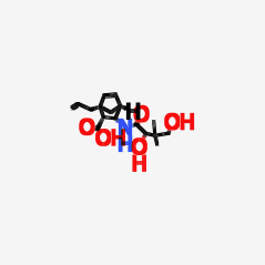 C=CC[C@@]12C=C[C@@H](C1)[C@@H](NC(=O)C(O)C(C)(C)CO)[C@H]2C(=O)O